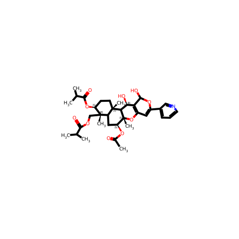 CC(=O)O[C@H]1CC2[C@](C)(CC[C@H](OC(=O)C(C)C)[C@@]2(C)COC(=O)C(C)C)C2[C@@H](O)C3=C(C=C(c4cccnc4)OC3O)O[C@@]21C